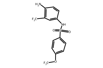 Nc1ccc(NS(=O)(=O)c2ccc(OC(F)(F)F)cc2)cc1C(F)(F)F